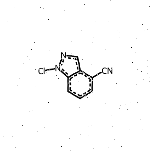 N#Cc1cccc2c1cnn2Cl